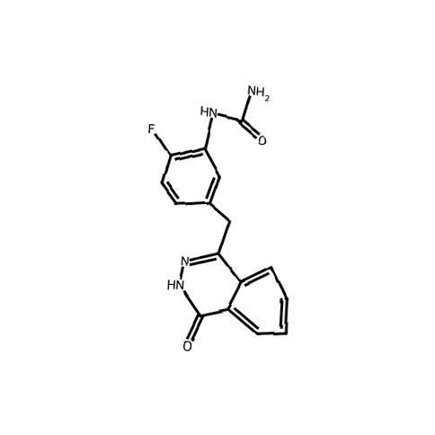 NC(=O)Nc1cc(Cc2n[nH]c(=O)c3ccccc23)ccc1F